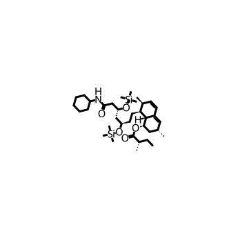 CC[C@H](C)C(=O)O[C@H]1C[C@@H](C)C=C2C=C[C@H](C)[C@H](CC[C@H](C[C@H](CC(=O)NC3CCCCC3)O[Si](C)(C)C)O[Si](C)(C)C)[C@H]21